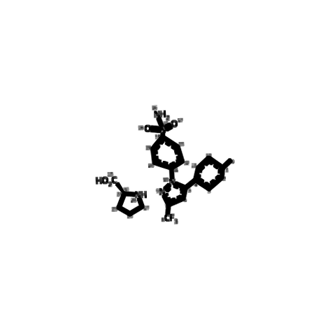 Cc1ccc(-c2cc(C(F)(F)F)nn2-c2ccc(S(N)(=O)=O)cc2)cc1.O=C(O)[C@@H]1CCCN1